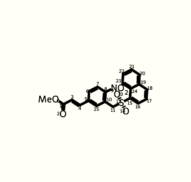 COC(=O)/C=C/c1ccc([N+](=O)[O-])c(CS(=O)(=O)c2cccc3ccccc23)c1